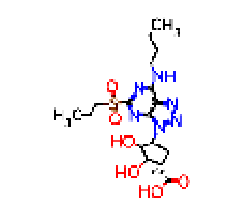 CCCCNc1nc(S(=O)(=O)CCC)nc2c1nnn2C1C[C@H](C(=O)O)C(O)C1O